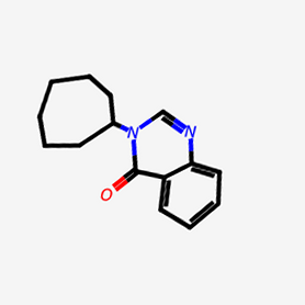 O=c1c2ccccc2ncn1C1CCCCCC1